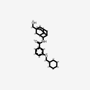 O=C(NC1C2CC3CC1CC(CO)(C3)C2)c1cccc(OCC2CCCCC2)c1